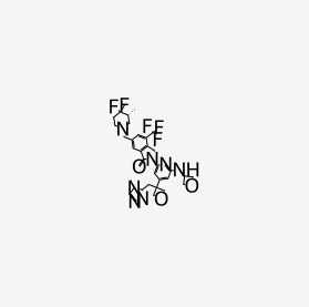 C[C@@H]1CN(Cc2cc3c(c(C(F)(F)F)c2)CN(c2cc(C4(Cc5nncn5C)COC4)cc(NC4COC4)n2)C3=O)CCC1(F)F